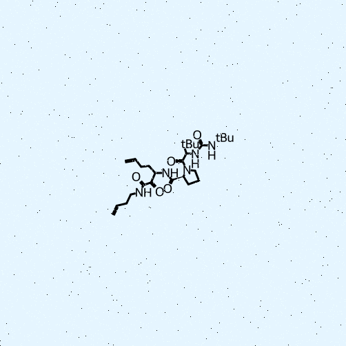 C=CCCNC(=O)C(=O)C(CCC=C)NC(=O)[C@@H]1CCCN1C(=O)C(NC(=O)NC(C)(C)C)C(C)(C)C